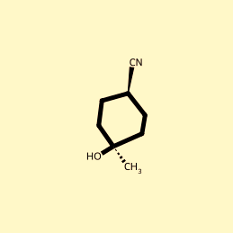 C[C@]1(O)CC[C@@H](C#N)CC1